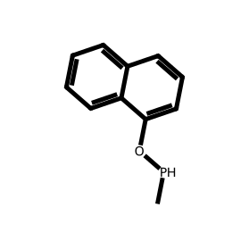 CPOc1cccc2ccccc12